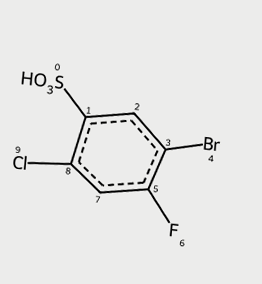 O=S(=O)(O)c1cc(Br)c(F)cc1Cl